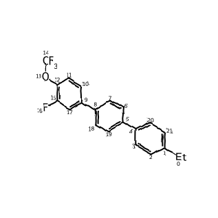 CCc1ccc(-c2ccc(-c3ccc(OC(F)(F)F)c(F)c3)cc2)cc1